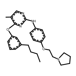 CCCCc1cccc(Oc2nc(Nc3ccc(OCCN4CCCC4)cc3)ncc2C)c1